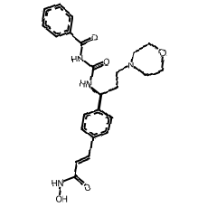 O=C(C=Cc1ccc(C(CCN2CCOCC2)NC(=O)NC(=O)c2ccccc2)cc1)NO